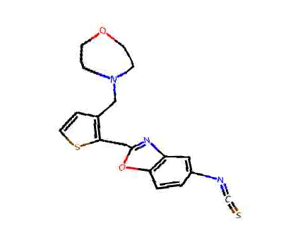 S=C=Nc1ccc2oc(-c3sccc3CN3CCOCC3)nc2c1